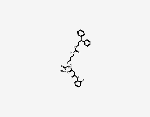 COC(=O)[C@H](CCCCNC(=O)NCCC(c1ccccc1)c1ccccc1)NC(=O)CC(=O)Nc1ccccc1F